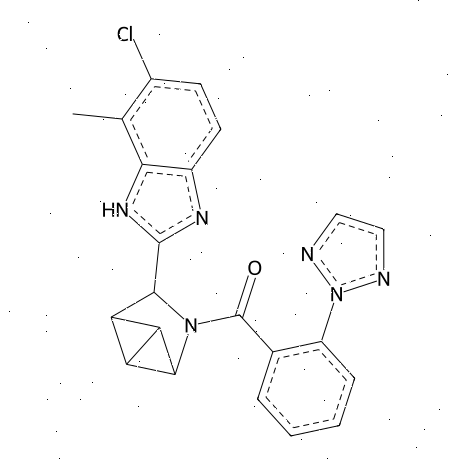 Cc1c(Cl)ccc2nc(C3C4C5C4C5N3C(=O)c3ccccc3-n3nccn3)[nH]c12